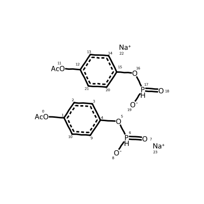 CC(=O)Oc1ccc(O[PH](=O)[O-])cc1.CC(=O)Oc1ccc(O[PH](=O)[O-])cc1.[Na+].[Na+]